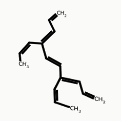 C=C/C=C(C=CC(/C=C\C)=C/C=C)\C=C/C